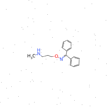 CNCCCON=C(c1ccccc1)c1ccccc1